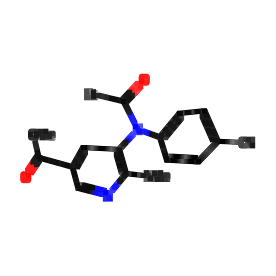 CCC(=O)N(c1ccc(C#N)cc1)c1cc(C(=O)OC)cnc1NC